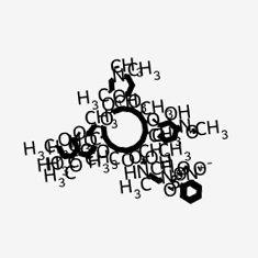 CO/N=C1\C[C@@H](C)O[C@@H](O[C@@H]2[C@@H](C)[C@H](O[C@H]3C[C@@H](C)N(C)C[C@H](C)O3)[C@@H](C)C(=O)O[C@H](C(C)CO[C@@H]3O[C@H](C)[C@@H](O)[C@@H](OC)[C@H]3OC)[C@H](C)[C@@H](OC(=O)CC(C)C)[C@@H](C)C(=O)[C@@](C)(OC(=O)NC(C)(C)CNS(=O)(=O)c3ccccc3[N+](=O)[O-])C[C@@H]2C)[C@@H]1O